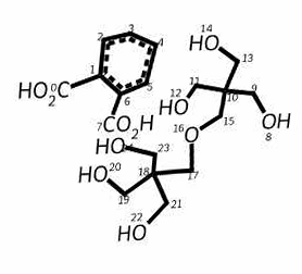 O=C(O)c1ccccc1C(=O)O.OCC(CO)(CO)COCC(CO)(CO)CO